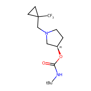 CC(C)(C)NC(=O)O[C@@H]1CCN(CC2(C(F)(F)F)CC2)C1